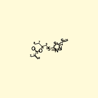 C=C(C)C(=O)OC(CC)CSc1nnc(SC)s1